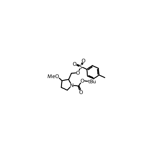 COC1CCN(C(=O)OC(C)(C)C)C1COS(=O)(=O)c1ccc(C)cc1